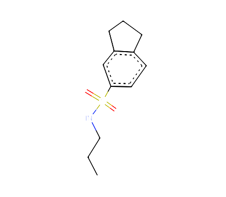 CCCNS(=O)(=O)c1ccc2c(c1)CCC2